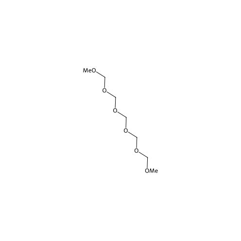 COCOCOCOCOCOC